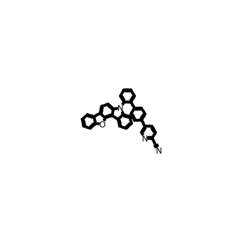 N#Cc1ccc(-c2ccc(-c3ccccc3-n3c4ccccc4c4c5oc6ccccc6c5ccc43)cc2)cn1